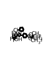 CC1(C)OB(c2ccc(C3CC(C(O)(C(F)(F)F)C(F)(F)F)=NN3c3ccccc3Cl)cc2)OC1(C)C